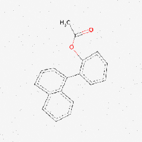 CC(=O)Oc1ccccc1-c1cccc2ccccc12